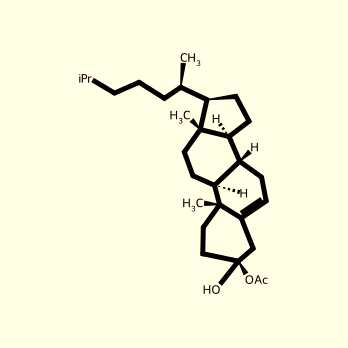 CC(=O)O[C@@]1(O)CC[C@@]2(C)C(=CC[C@H]3[C@@H]4CC[C@H]([C@H](C)CCCC(C)C)[C@@]4(C)CC[C@@H]32)C1